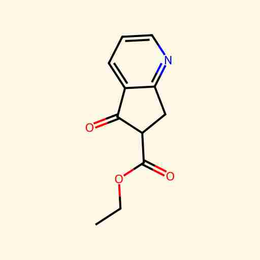 CCOC(=O)C1Cc2ncccc2C1=O